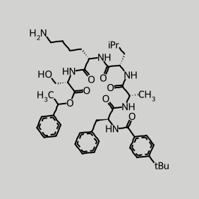 CC(C)C[C@H](NC(=O)[C@H](C)NC(=O)[C@H](Cc1ccccc1)NC(=O)c1ccc(C(C)(C)C)cc1)C(=O)N[C@@H](CCCCN)C(=O)N[C@@H](CO)C(=O)OC(C)c1ccccc1